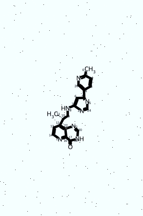 Cc1ccc(-c2cc(NC[C@@H](C)c3ccnc4c(=O)[nH]cnc34)ncn2)cn1